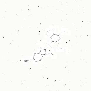 COc1cc(C)c2c(c1C(C)(CC(=O)O)c1nc3cc(C#N)ccc3[nH]1)CCN2